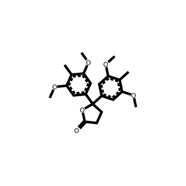 COc1cc(C2(c3cc(OC)c(C)c(OC)c3)CCC(=O)O2)cc(OC)c1C